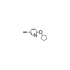 C#Cc1ccc(OC2CCCC2)nc1